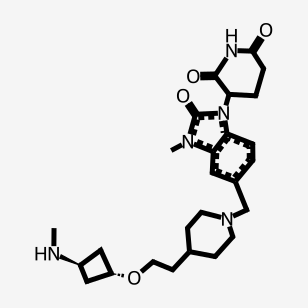 CN[C@H]1C[C@H](OCCC2CCN(Cc3ccc4c(c3)n(C)c(=O)n4C3CCC(=O)NC3=O)CC2)C1